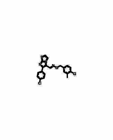 Cc1cc(CO/N=C/c2c(-c3ccc(Cl)cc3)nc3sccn23)ccc1Cl